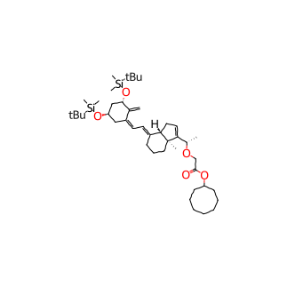 C=C1C(=CC=C2CCC[C@]3(C)C([C@H](C)OCC(=O)OC4CCCCCCC4)=CC[C@@H]23)C[C@@H](O[Si](C)(C)C(C)(C)C)C[C@@H]1O[Si](C)(C)C(C)(C)C